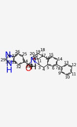 CC1(C)[C@H]2Cc3cc(-c4ccccc4)ccc3[C@]1(C)CCN2C(=O)c1ccc2nc[nH]c2c1